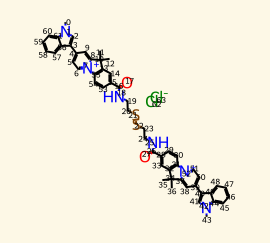 Cn1cc(-c2cc[n+]3c(c2)C(C)(C)c2cc(C(=O)NCCSSCCNC(=O)c4ccc5c(c4)C(C)(C)c4cc(-c6cn(C)c7ccccc67)cc[n+]4-5)ccc2-3)c2ccccc21.[Cl-].[Cl-]